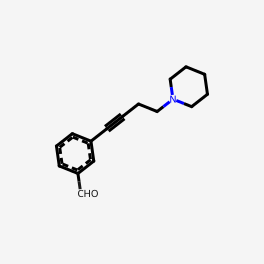 O=Cc1cccc(C#CCCN2CCCCC2)c1